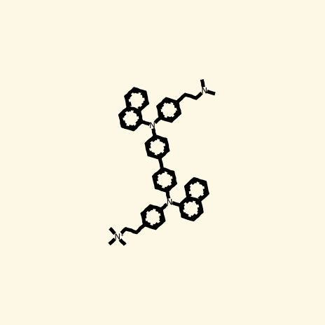 CN(C)CCc1ccc(N(c2ccc(-c3ccc(N(c4ccc(CC[N+](C)(C)C)cc4)c4cccc5ccccc45)cc3)cc2)c2cccc3ccccc23)cc1